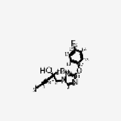 CC(C)(C)C(O)(C#CI)Cn1cnc(Oc2ccc(F)cc2)n1